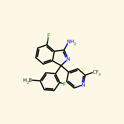 Bc1ccc(F)c(C2(c3ccnc(C(F)(F)F)c3)N=C(N)c3c(F)cccc32)c1